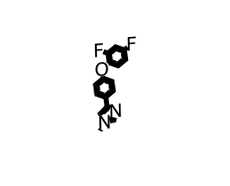 Cn1cnc(-c2ccc(Oc3ccc(F)cc3F)cc2)c1